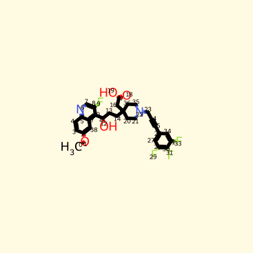 COc1ccc2ncc(F)c(C(O)CCC3(CC(=O)O)CCN(CC#Cc4cc(F)c(F)c(F)c4)CC3)c2c1